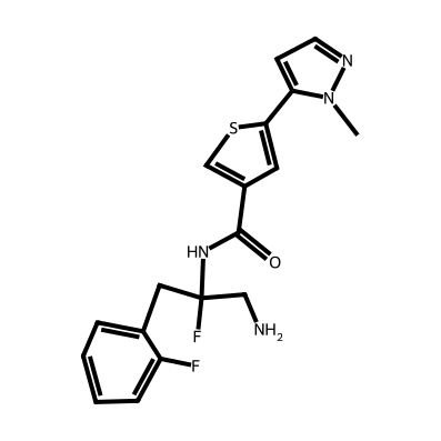 Cn1nccc1-c1cc(C(=O)NC(F)(CN)Cc2ccccc2F)cs1